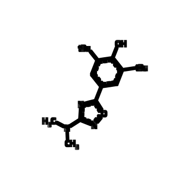 CN(C)c1noc(-c2cc(C(C)(C)C)c(O)c(C(C)(C)C)c2)n1